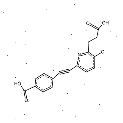 [O]c1ccc(C#Cc2ccc(C(=O)O)cc2)nc1CCC(=O)O